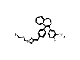 FCCCN1CC(=Cc2ccc(C3=C(c4ccc(F)c(C(F)(F)F)c4)CCCc4ccccc43)cc2)C1